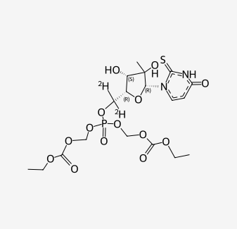 [2H]C([2H])(OP(=O)(OCOC(=O)OCC)OCOC(=O)OCC)[C@H]1O[C@@H](n2ccc(=O)[nH]c2=S)C(C)(O)[C@H]1O